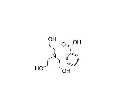 O=C(O)c1ccccc1.OCCN(CCO)CCO